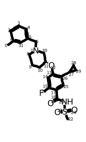 Cc1cccc(CN2CCC[C@@H](Oc3cc(F)c(C(=O)NS(C)(=O)=O)cc3C3CC3)C2)c1